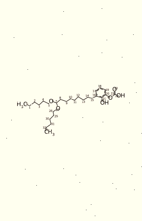 CCCCCCOC(CCCCCCCCc1cccc(OC(=O)O)c1O)OCCCCCC